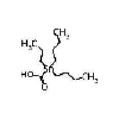 CCC[CH2][Sn]([CH2]CC)([CH2]CCC)[C](=O)O